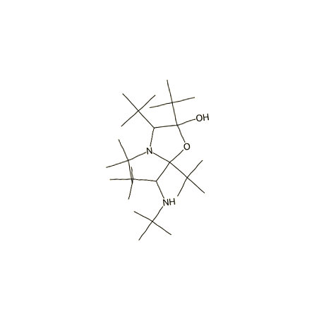 CC(C)(C)NC(C(C)(C)C)C1(C(C)(C)C)OC(O)(C(C)(C)C)C(C(C)(C)C)N1C(C)(C)C